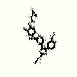 CCNc1nc(-c2cccc(OC)c2)c(-c2ccnc(Nc3ccc(OCCN(C)C)c(C)c3)n2)s1